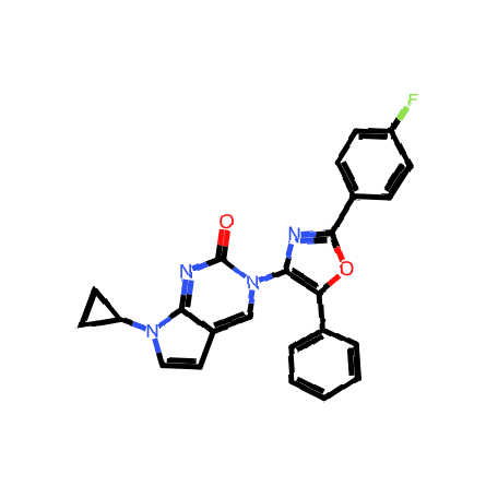 O=c1nc2c(ccn2C2CC2)cn1-c1nc(-c2ccc(F)cc2)oc1-c1ccccc1